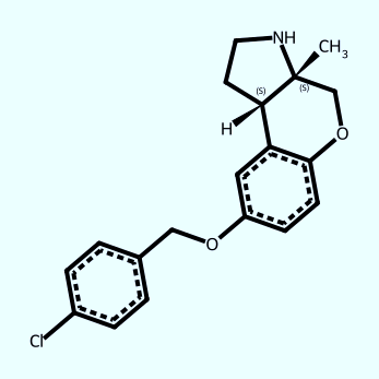 C[C@@]12COc3ccc(OCc4ccc(Cl)cc4)cc3[C@@H]1CCN2